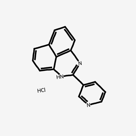 Cl.c1cncc(C2=Nc3cccc4cccc(c34)N2)c1